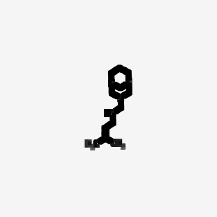 CC(C)=CCNCN1CN2CCCN(C2)C1